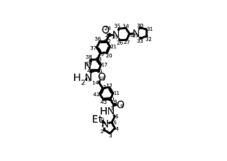 CCN1CCCC1CNC(=O)c1ccc(COc2cc(-c3ccc(C(=O)N4CCC(N5CCCC5)CC4)cc3)cnc2N)cc1